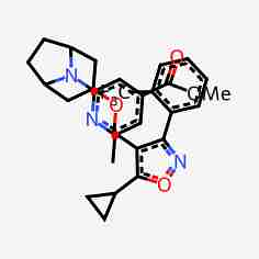 COC(=O)c1cc(C)nc(N2C3CCC2CC(OCc2c(-c4ccccc4C(F)(F)F)noc2C2CC2)C3)c1